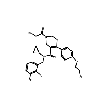 CC(C)(C)OC(=O)N1CCC(c2ccc(OCCO)cc2)=C(C(=O)N(Cc2cccc(C(F)(F)F)c2Cl)C2CC2)C1